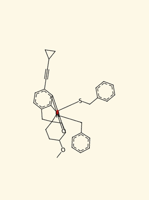 COC1CCC2(CC1)Cc1ccc(C#CC3CC3)cc1C21N=C(SCc2ccccc2)N(Cc2ccccc2)C1=O